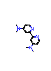 CN(C)c1ccnc(-c2cc(N(C)C)ccn2)c1